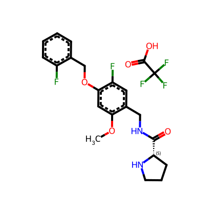 COc1cc(OCc2ccccc2F)c(F)cc1CNC(=O)[C@@H]1CCCN1.O=C(O)C(F)(F)F